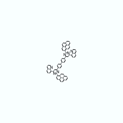 C1=CC2=CC=C3C=CC(c4nc(-c5ccc(-c6ccc(-c7cc(-c8cccc9cccnc89)nc(-c8ccc9ccc%10cccc%11ccc8c9c%10%11)n7)cc6)cc5)cc(-c5cccc6cccnc56)n4)=C4C=CC(=C1)C2C34